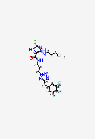 CCCCNc1nc(Cl)[nH]c1C(=O)NCCCn1nnc(Cc2cc(F)c(F)c(F)c2)n1